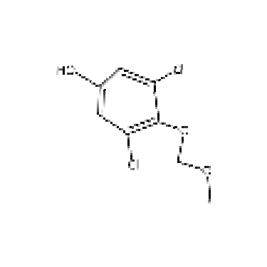 COCOc1c(Cl)cc(O)cc1Cl